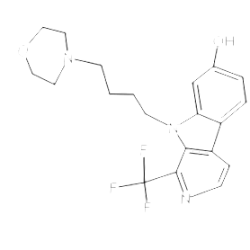 Oc1ccc2c3ccnc(C(F)(F)F)c3n(CCCCN3CCOCC3)c2c1